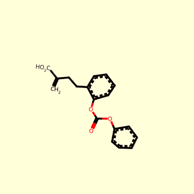 C=C(CCc1ccccc1OC(=O)Oc1ccccc1)C(=O)O